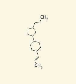 C/C=C/C1CCC(C2CCC(CCC)C2)CC1